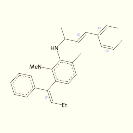 C\C=C/C(/C=C/C(C)Nc1c(C)ccc(/C(=C\CC)c2ccccc2)c1NC)=C\C